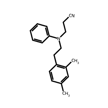 Cc1ccc(CCN(CCC#N)c2ccccc2)c(C)c1